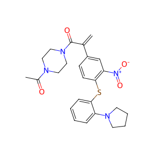 C=C(C(=O)N1CCN(C(C)=O)CC1)c1ccc(Sc2ccccc2N2CCCC2)c([N+](=O)[O-])c1